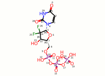 O=c1ccn([C@@H]2O[C@H](COP(=O)(O)OP(=O)(O)OP(=O)(O)O)[C@@H](O)C2(F)F)c(=O)[nH]1